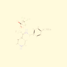 COc1ccc(CNC(C2CCNCC2)C(F)(F)F)cc1.O=C(O)C(F)(F)F